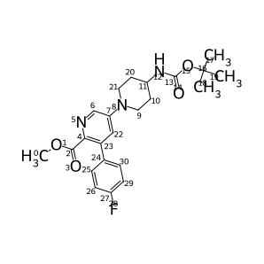 COC(=O)c1ncc(N2CCC(NC(=O)OC(C)(C)C)CC2)cc1-c1ccc(F)cc1